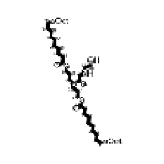 CCCCCCCC/C=C\CCCCCCCC(=O)OCCCN(CCCOC(=O)CCCCCCC/C=C\CCCCCCCC)C(=O)CNCCO